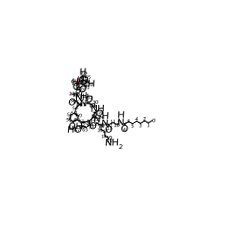 CCCCCCCC(=O)NCCC(=O)N[C@@H](CCCCN)C(=O)N(C)[C@@H]1C(=O)N[C@@H](C)C(=O)N[C@H](C(=O)N[C@@H](C)B2O[C@@H]3C[C@@H]4C[C@@H](C4(C)C)[C@]3(C)O2)Cc2ccc(O)c(c2)-c2cc1ccc2O